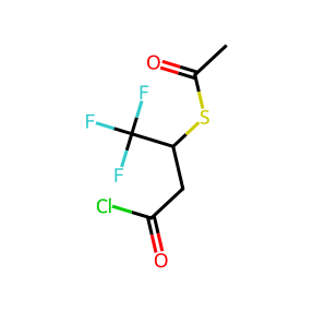 CC(=O)SC(CC(=O)Cl)C(F)(F)F